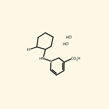 CCC1CCCCC1NN1C=CC=C(C(=O)O)C1.Cl.Cl